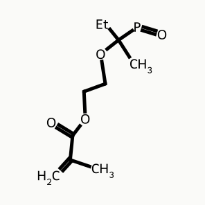 C=C(C)C(=O)OCCOC(C)(CC)P=O